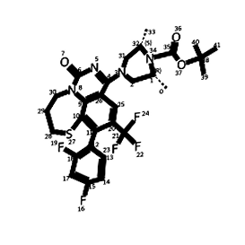 C[C@@H]1CN(c2nc(=O)n3c4c(c(-c5ccc(F)cc5F)c(C(F)(F)F)cc24)SCCC3)C[C@H](C)N1C(=O)OC(C)(C)C